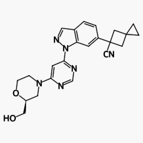 N#CC1(c2ccc3cnn(-c4cc(N5CCO[C@H](CO)C5)ncn4)c3c2)CC2(CC2)C1